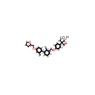 Cc1cc(OCC2CCCO2)ccc1-c1cccc(COc2ccc(C3(CC(=O)O)COC3)cc2)c1C